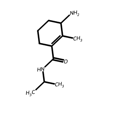 CC1=C(C(=O)NC(C)C)CCCC1N